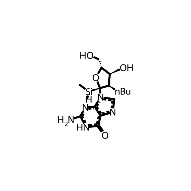 CCCC[C@@H]1[C@H](O)[C@@H](CO)O[C@]1(n1cnc2c(=O)[nH]c(N)nc21)[SiH](C)C